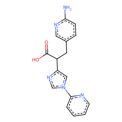 Nc1ccc(CC(C(=O)O)c2cn(-c3ccccn3)cn2)cn1